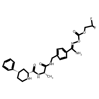 C[C@H](NC(=O)[C@H]1C[C@@H](c2ccccc2)CCN1)C(=O)NCc1ccc(/C(N)=N/OC(=O)OCC(F)F)cc1